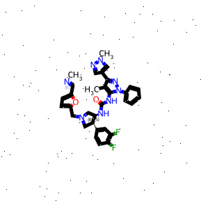 C/N=C/c1ccc(CN2C[C@@H](NC(=O)Nc3c(C)c(-c4cnn(C)c4)nn3-c3ccccc3)[C@H](c3ccc(F)c(F)c3)C2)o1